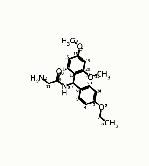 CCOc1ccc(C(NC(=O)CN)c2ccc(OC)cc2OC)cc1